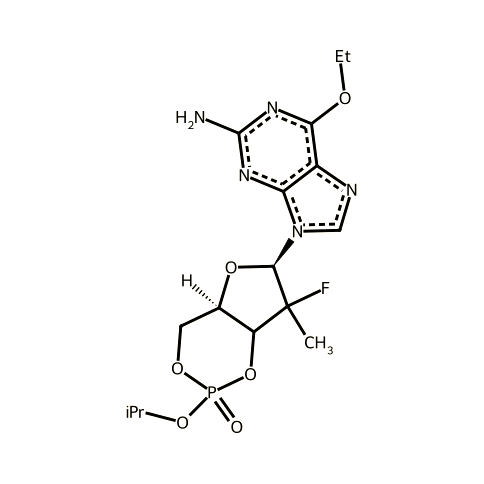 CCOc1nc(N)nc2c1ncn2[C@@H]1O[C@@H]2COP(=O)(OC(C)C)OC2C1(C)F